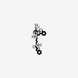 Bc1cnn2c(NCCCCNC(=O)c3cc4ccccc4s3)cc(-c3ccccc3Cl)nc12